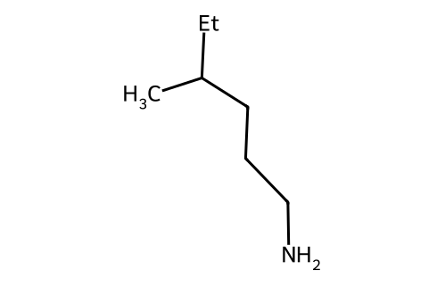 CCC(C)CCCN